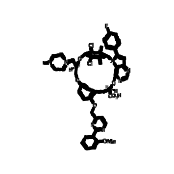 COc1ccccc1-c1nccc(COc2ccc3cc2C[C@H](C(=O)O)Oc2ncnc4cc(-c5ccc(F)cc5)n(c24)-c2c(C)c(Cl)c(c(Cl)c2C)O[C@H](CN2CCN(C)CC2)CO3)n1